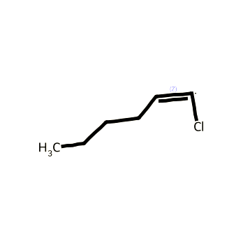 CCCC/C=[C]\Cl